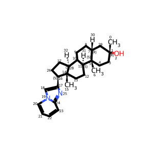 C[C@@]1(O)CC[C@@]2(C)[C@H](CCC3[C@@H]2CC[C@]2(C)[C@@H](c4cn5ccccc5n4)CC[C@@H]32)C1